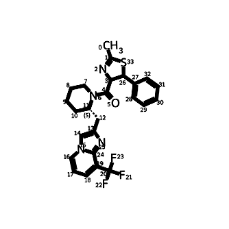 CC1=NC(C(=O)N2CCCC[C@H]2Cc2cn3cccc(C(F)(F)F)c3n2)C(c2ccccc2)S1